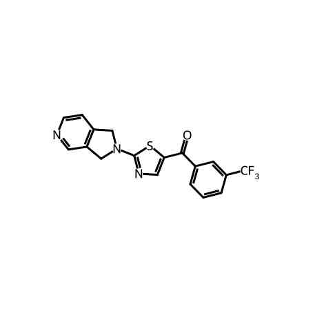 O=C(c1cccc(C(F)(F)F)c1)c1cnc(N2Cc3ccncc3C2)s1